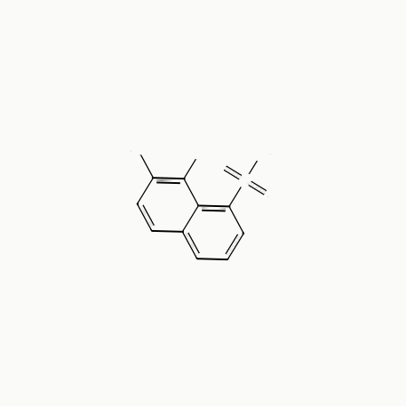 O=S(=O)(O)c1cccc2ccc(Cl)c(O)c12